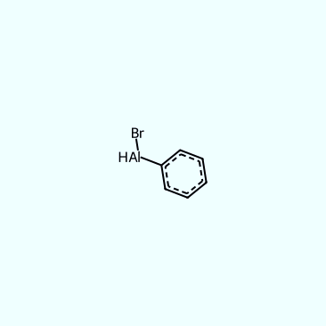 [Br][AlH][c]1ccccc1